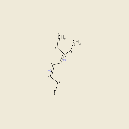 C=C/C(=C\C=C/CF)CC